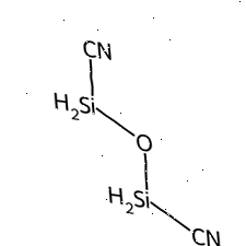 N#C[SiH2]O[SiH2]C#N